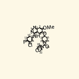 COc1cc2ncnc(Nc3ccc(F)c(Cl)c3)c2cc1OC1CCN(C(=O)N2CC3CC2CO3)CC1